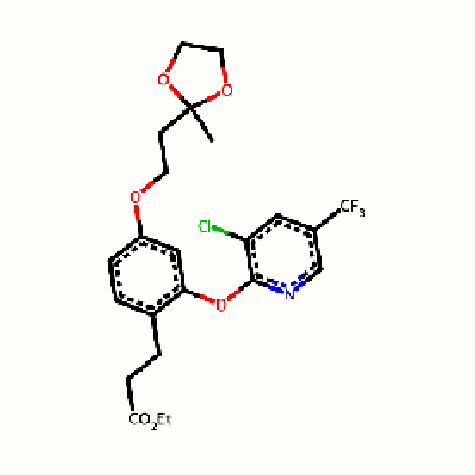 CCOC(=O)CCc1ccc(OCCC2(C)OCCO2)cc1Oc1ncc(C(F)(F)F)cc1Cl